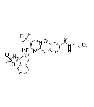 COCCNC(=O)c1ccc(Nc2ncc(C(F)(F)F)c(N[C@@H]3Cc4ccccc4[C@H]3N(C)S(C)(=O)=O)n2)c(OC)c1